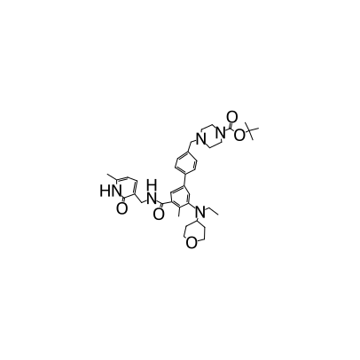 CCN(c1cc(-c2ccc(CN3CCN(C(=O)OC(C)(C)C)CC3)cc2)cc(C(=O)NCc2ccc(C)[nH]c2=O)c1C)C1CCOCC1